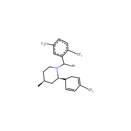 CCCC(c1cc(C(F)(F)F)ccc1C(F)(F)F)N1CC[C@H](C)C[C@@H]1C1C=CC(C(F)(F)F)=CC1